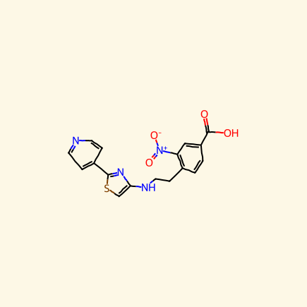 O=C(O)c1ccc(CCNc2csc(-c3ccncc3)n2)c([N+](=O)[O-])c1